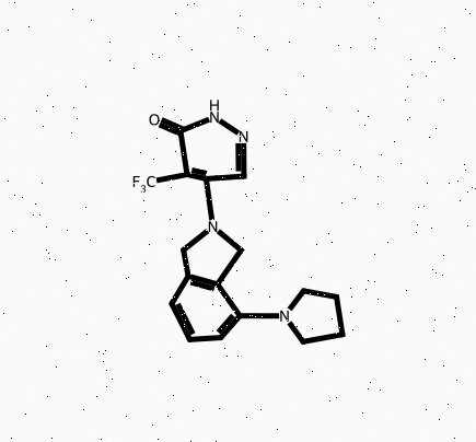 O=c1[nH]ncc(N2Cc3cccc(N4CCCC4)c3C2)c1C(F)(F)F